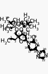 C=CC[C@]1(CO[Si](C)(C)C(C)(C)C)O[C@@H](n2ccc(-n3cncn3)nc2=O)C[C@@H]1O[Si](C)(C)C(C)(C)C